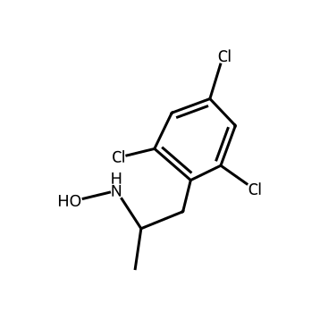 CC(Cc1c(Cl)cc(Cl)cc1Cl)NO